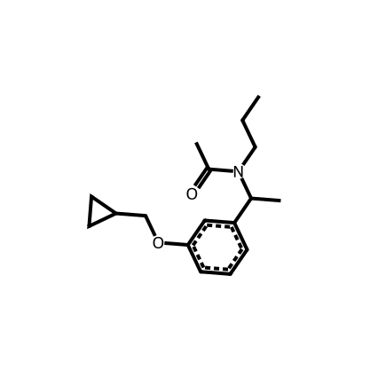 CCCN(C(C)=O)C(C)c1cccc(OCC2CC2)c1